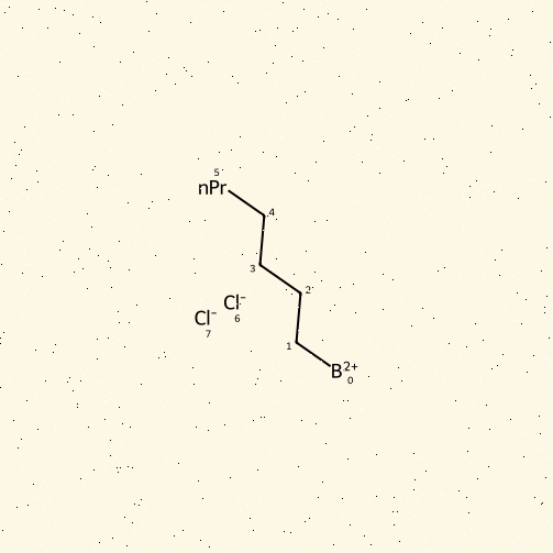 [B+2]CCCCCCC.[Cl-].[Cl-]